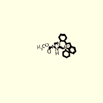 COC(=O)N1CN2C(=C[N+]3(C4CCCCC4)c4ccccc4CC3C3CC=CCC32)N1